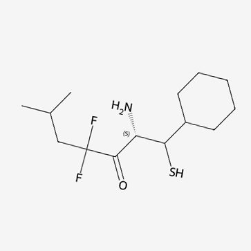 CC(C)CC(F)(F)C(=O)[C@H](N)C(S)C1CCCCC1